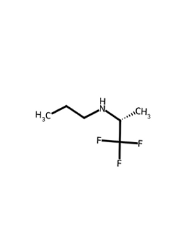 CCCN[C@H](C)C(F)(F)F